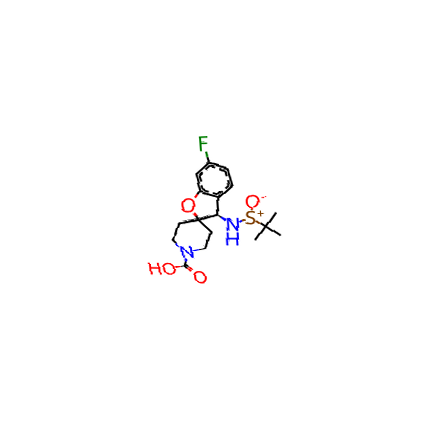 CC(C)(C)[S+]([O-])N[C@@H]1c2ccc(F)cc2OC12CCN(C(=O)O)CC2